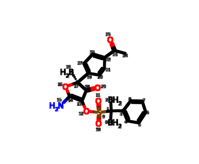 BC(B)(c1ccccc1)S(=O)(=O)OC1=C(N)O[C@@](B)(c2ccc(C(C)=O)cc2)C1=O